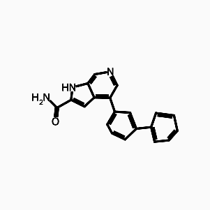 NC(=O)c1cc2c(-c3cccc(-c4ccccc4)c3)cncc2[nH]1